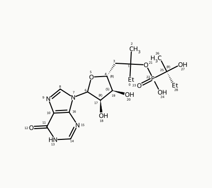 CCC(C)(C[C@H]1OC(n2cnc3c(=O)[nH]cnc32)[C@H](O)[C@@H]1O)OP(=O)(O)[C@@](C)(O)CC